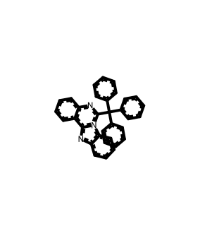 c1ccc(C(c2ccccc2)(c2ccccc2)c2nc3ccccc3c3nc4ccccc4n23)cc1